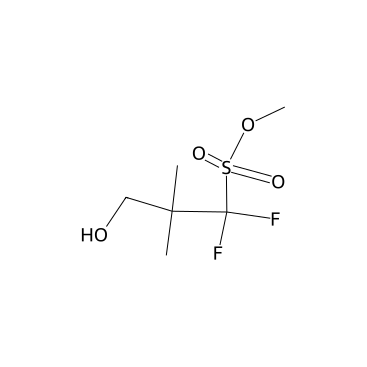 COS(=O)(=O)C(F)(F)C(C)(C)CO